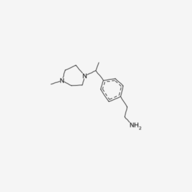 CC(c1ccc(CCN)cc1)N1CCN(C)CC1